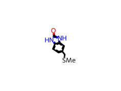 CSCc1ccc2[nH]c(=O)[nH]c2c1